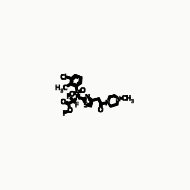 Cc1c(Cl)cccc1S(=O)(=O)N(c1nc(CC(=O)N2CCN(C)CC2)cs1)C(F)(F)C(=O)OF